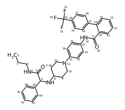 CCCNC(=O)C(NC1CCN(c2ccc(NC(=O)c3ccccc3-c3ccc(C(F)(F)F)cc3)cc2)CC1)c1ccccc1